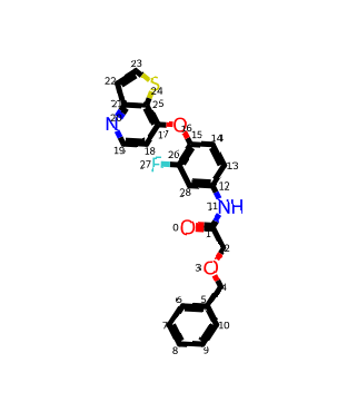 O=C(COCc1ccccc1)Nc1ccc(Oc2ccnc3ccsc23)c(F)c1